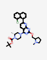 C[C@@H]1CN(c2nc(OCC3CCCN3C)nc3nc(-c4cccc5cccc(Cl)c45)ccc23)CCN1C(=O)OC(C)(C)C